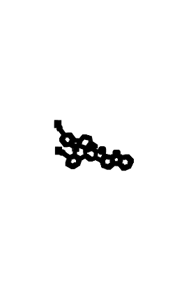 CC1C=Cc2c(n(-c3c(C#N)cccc3C3=CC4c5ccc6c(oc7ccccc76)c5OC4C=C3)c3ccc(C#N)cc23)C1